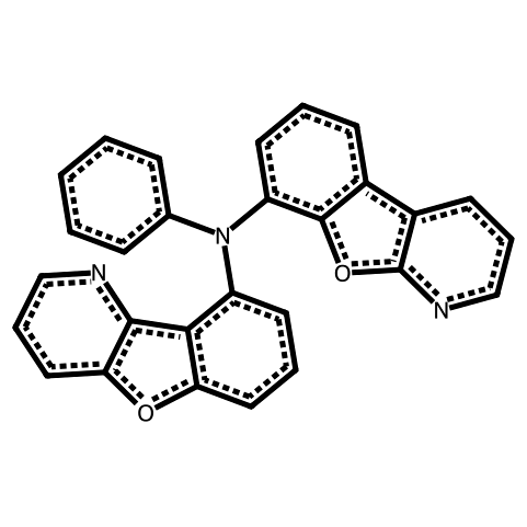 c1ccc(N(c2cccc3c2oc2ncccc23)c2cccc3oc4cccnc4c23)cc1